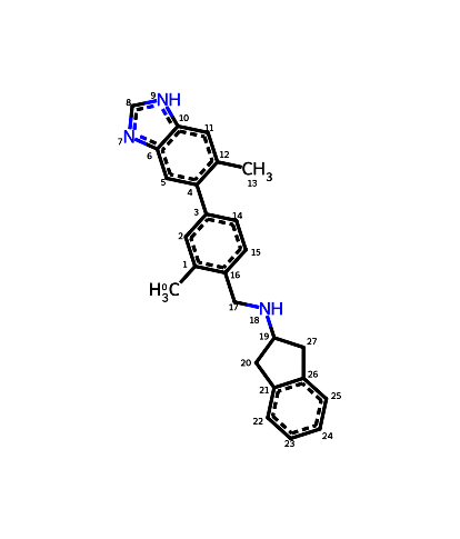 Cc1cc(-c2cc3nc[nH]c3cc2C)ccc1CNC1Cc2ccccc2C1